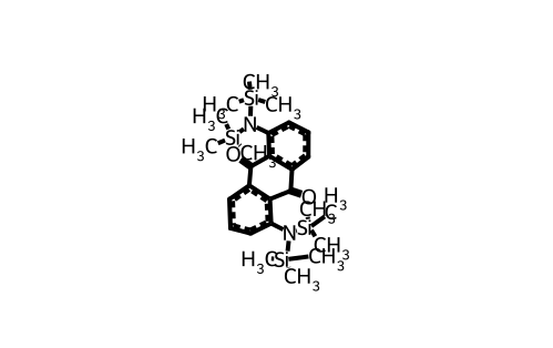 C[Si](C)(C)N(c1cccc2c1C(=O)c1cccc(N([Si](C)(C)C)[Si](C)(C)C)c1C2=O)[Si](C)(C)C